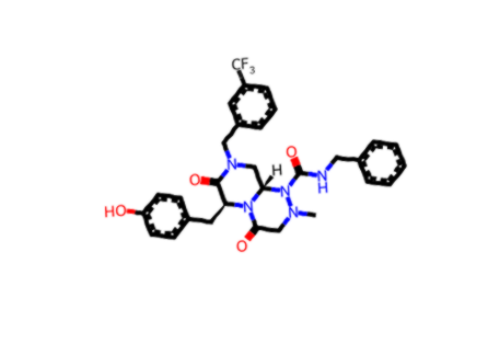 CN1CC(=O)N2[C@@H](Cc3ccc(O)cc3)C(=O)N(Cc3cccc(C(F)(F)F)c3)C[C@@H]2N1C(=O)NCc1ccccc1